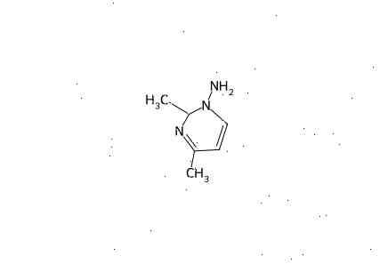 CC1=NC(C)N(N)C=C1